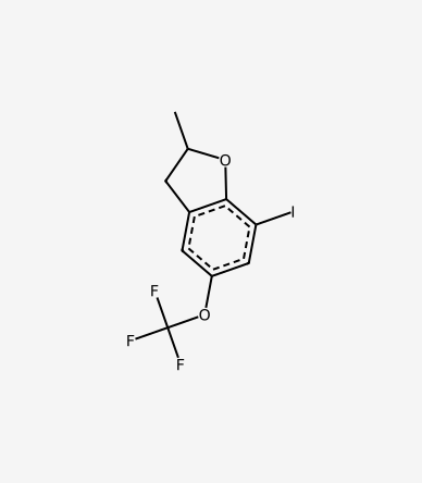 CC1Cc2cc(OC(F)(F)F)cc(I)c2O1